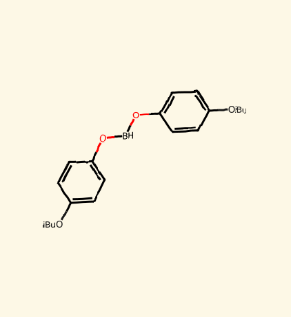 CC(C)COc1ccc(OBOc2ccc(OCC(C)C)cc2)cc1